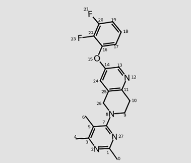 Cc1nc(C)c(C)c(N2CCc3ncc(Oc4cccc(F)c4F)cc3C2)n1